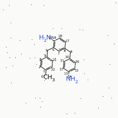 Cc1ccc(Cc2cc(Cc3ccc(N)cc3)ccc2N)cc1